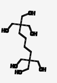 OCC(CO)(CO)CCCCC(CO)(CO)CO